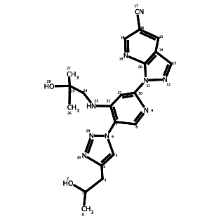 CC(O)Cc1cn(-c2cnc(-n3ncc4cc(C#N)cnc43)cc2NCC(C)(C)O)nn1